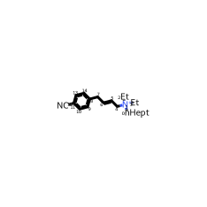 CCCCCCC[N+](CC)(CC)CC=CCc1ccc(C#N)cc1